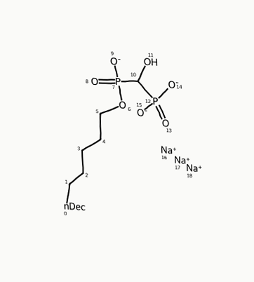 CCCCCCCCCCCCCCCOP(=O)([O-])C(O)P(=O)([O-])[O-].[Na+].[Na+].[Na+]